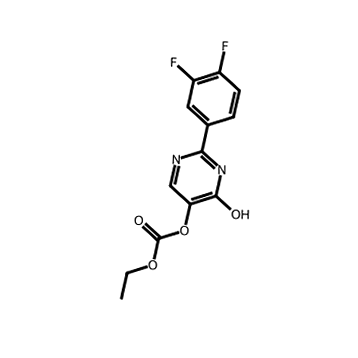 CCOC(=O)Oc1cnc(-c2ccc(F)c(F)c2)nc1O